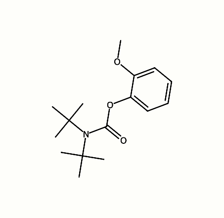 COc1ccccc1OC(=O)N(C(C)(C)C)C(C)(C)C